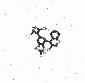 Cc1noc(C)c1-c1cc(-c2c(Cl)cnc3ccccc23)c2[nH]c(=O)[nH]c2c1